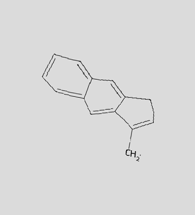 [CH2]C1=CCc2cc3ccccc3cc21